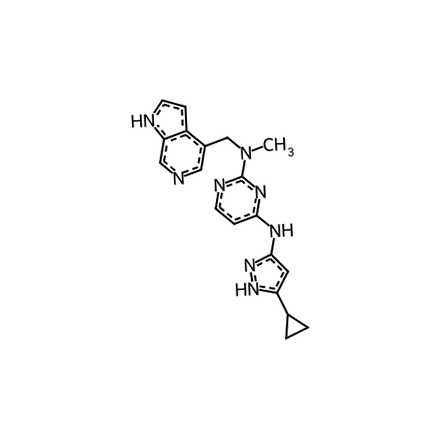 CN(Cc1cncc2[nH]ccc12)c1nccc(Nc2cc(C3CC3)[nH]n2)n1